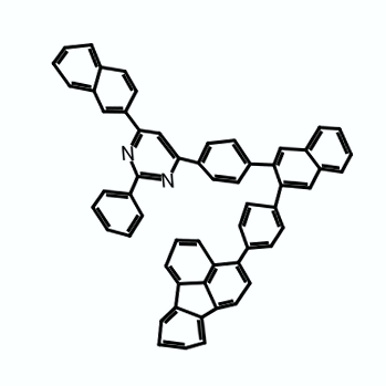 c1ccc(-c2nc(-c3ccc(-c4cc5ccccc5cc4-c4ccc(-c5ccc6c7c(cccc57)-c5ccccc5-6)cc4)cc3)cc(-c3ccc4ccccc4c3)n2)cc1